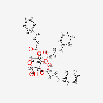 O=C(CCCc1ccccc1)OC1COC(O)C(OC(=O)CCCc2ccccc2)C1OC(=O)CCCc1ccccc1